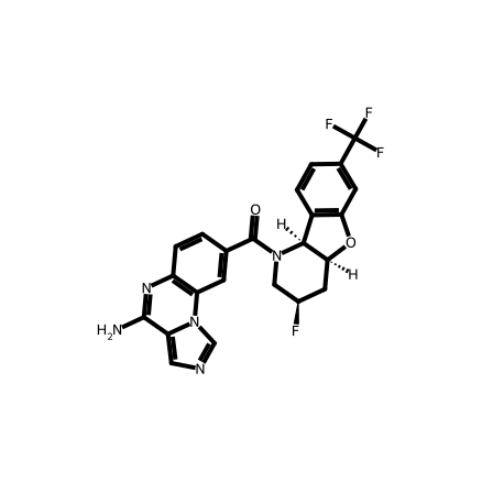 Nc1nc2ccc(C(=O)N3C[C@H](F)C[C@@H]4Oc5cc(C(F)(F)F)ccc5[C@@H]43)cc2n2cncc12